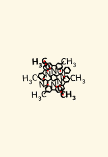 Cc1ccc2c(c1)c1cc(C)ccc1n2-c1c(-c2ccncc2)c(-n2c3ccc(C)cc3c3cc(C)ccc32)c(-n2c3ccc(C)cc3c3cc(C)ccc32)c(-c2nc3ccccc3o2)c1-n1c2ccc(C)cc2c2cc(C)ccc21